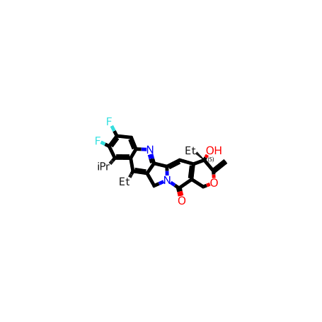 C=C1OCc2c(cc3n(c2=O)Cc2c-3nc3cc(F)c(F)c(C(C)C)c3c2CC)[C@@]1(O)CC